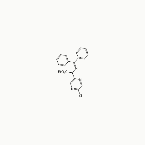 CCOC(=O)C(N=C(c1ccccc1)c1ccccc1)c1cnc(Cl)cn1